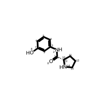 O=C(Nc1cccc(O)c1)[C@@H]1CCCN1